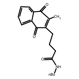 CCCCNC(=O)CCCC1=C(C)C(=O)c2ccccc2C1=O